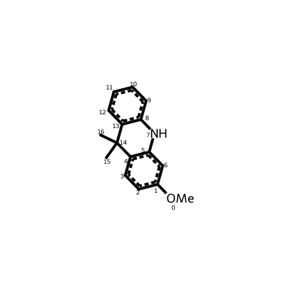 COc1ccc2c(c1)Nc1ccccc1C2(C)C